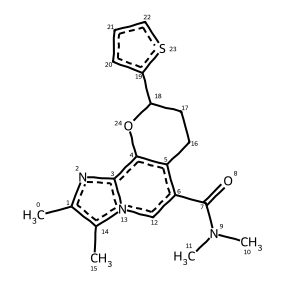 Cc1nc2c3c(c(C(=O)N(C)C)cn2c1C)CCC(c1cccs1)O3